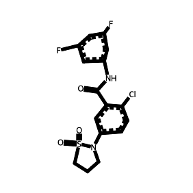 O=C(Nc1cc(F)cc(F)c1)c1cc(N2CCCS2(=O)=O)ccc1Cl